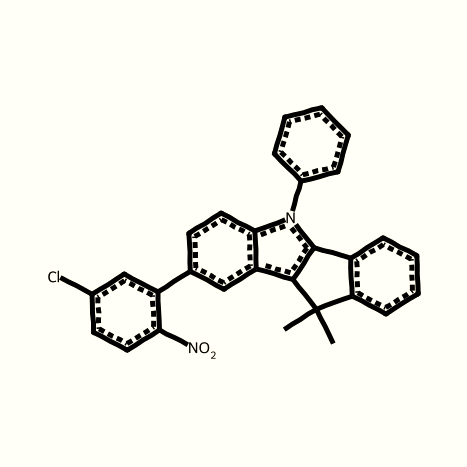 CC1(C)c2ccccc2-c2c1c1cc(-c3cc(Cl)ccc3[N+](=O)[O-])ccc1n2-c1ccccc1